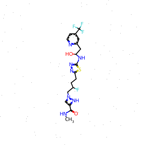 CNC(=O)c1cn(CC(F)CCc2nnc(NC(O)Cc3cc(C(F)(F)F)ccn3)s2)[nH]1